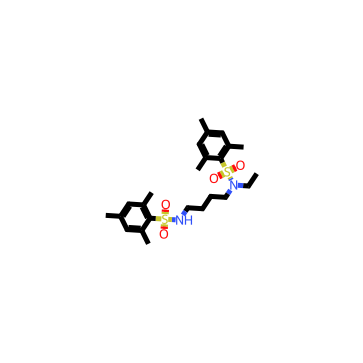 CCN(CCCCNS(=O)(=O)c1c(C)cc(C)cc1C)S(=O)(=O)c1c(C)cc(C)cc1C